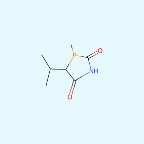 CC(C)C1C(=O)NC(=O)P1C